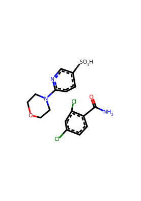 NC(=O)c1ccc(Cl)cc1Cl.O=S(=O)(O)c1ccc(N2CCOCC2)nc1